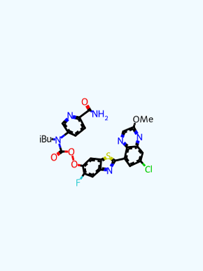 CCC(C)N(C(=O)OOc1cc2sc(-c3cc(Cl)cc4nc(OC)cnc34)nc2cc1F)c1ccc(C(N)=O)nc1